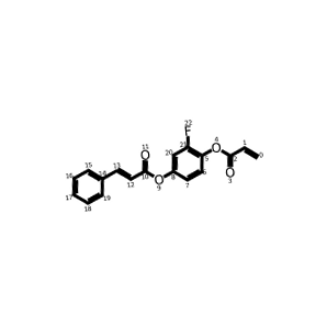 C=CC(=O)Oc1ccc(OC(=O)/C=C/c2ccccc2)cc1F